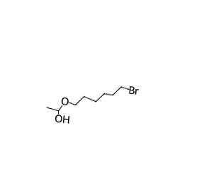 CC(O)OCCCCCCBr